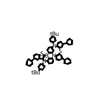 CC(C)(C)c1ccc(N2c3ccc4c(c3)N(c3ccc(-c5ccccc5)cc3Sc3cc(-c5ccccc5)ccc32)c2cccc3c2B4c2sc4ccc(-c5ccccc5)cc4c2N3c2ccc(C(C)(C)C)cc2)cc1